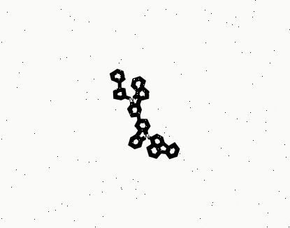 c1ccc(-c2cccc(-n3c4ccc(-c5ccc6c(c5)c5ccccc5n6-c5ccc6c7c(cccc57)-c5ccccc5-6)cc4c4ccc5ccccc5c43)c2)cc1